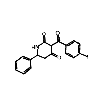 O=C1CC(c2ccccc2)NC(=O)C1C(=O)c1ccc(I)cc1